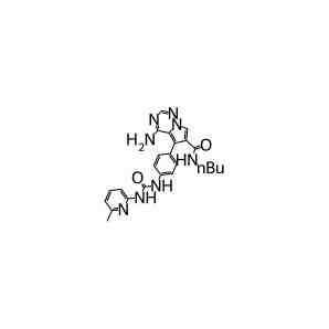 CCCCNC(=O)c1cn2ncnc(N)c2c1-c1ccc(NC(=O)Nc2cccc(C)n2)cc1